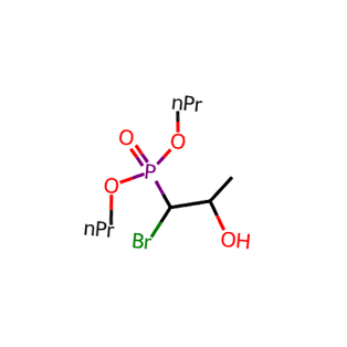 CCCOP(=O)(OCCC)C(Br)C(C)O